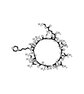 CCOC(=O)CCC[C@@H](C)[C@H]1ON2C(=O)[C@H](C(C)C)N(C)C(=O)[C@H](CC(C)C)N(C)C(=O)[C@H](CC(C)C)N(C)C(=O)[C@@H](C)NC(=O)[C@H](C)NC(=O)[C@H](CC(C)C)N(C)C(=O)[C@H](C(C)C)NC(=O)[C@H]([C@@H](C)OCCCCN3CCOCC3)N(C)C(=O)[C@@H](C)N(C)C(=O)[C@H](CC)NC(=O)[C@H]12